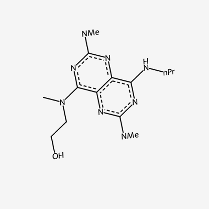 CCCNc1nc(NC)nc2c(N(C)CCO)nc(NC)nc12